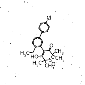 CCc1ccc(-c2ccc(Cl)cc2)cc1C1=C(O)C(C)(C)[S+]([O-])C(C)(C)C1=O